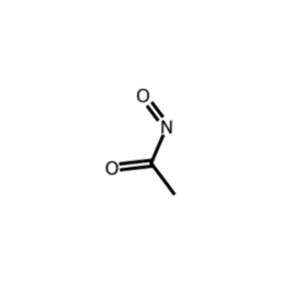 CC(=O)N=O